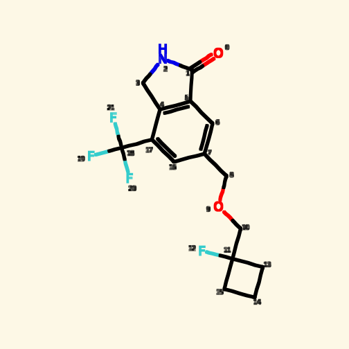 O=C1NCc2c1cc(COCC1(F)CCC1)cc2C(F)(F)F